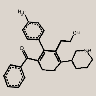 Cc1ccc(C2=C(C(=O)c3ccccc3)C[CH]C(C3CCCNC3)=C2CCO)cc1